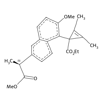 CCOC(=O)C1(c2c(OC)ccc3cc([C@H](C)C(=O)OC)ccc23)C(C)=C1C